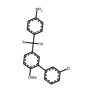 [2H]C([2H])(c1ccc(N)cc1)c1ccc(OC)c(-c2cccc(Cl)c2)c1